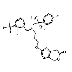 CC(C)(CN(CCCOc1ccc2c(c1)CC(=O)OC2)Cc1cccc(C(F)(F)F)c1F)c1ccc(F)cc1